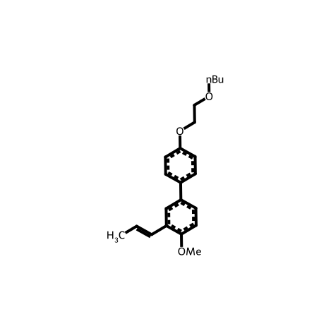 C/C=C/c1cc(-c2ccc(OCCOCCCC)cc2)ccc1OC